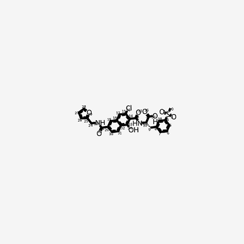 CS(=O)(=O)c1cccc(C[C@H](NC(=O)c2c(Cl)cc3cc(C(=O)NCc4ccco4)ccc3c2O)C(=O)O)c1